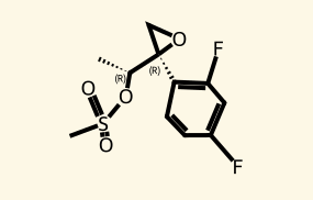 C[C@@H](OS(C)(=O)=O)[C@@]1(c2ccc(F)cc2F)CO1